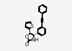 O=C1N[C@@H](c2cccc(C#Cc3ccccc3)c2)[C@H](c2cccs2)O1